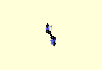 C(#Cc1ccc2c(ccc3nc([C@@H]4CC5CC5N4)[nH]c32)c1)c1ccc2c(ccc3nc([C@@H]4CC5CC5N4)[nH]c32)c1